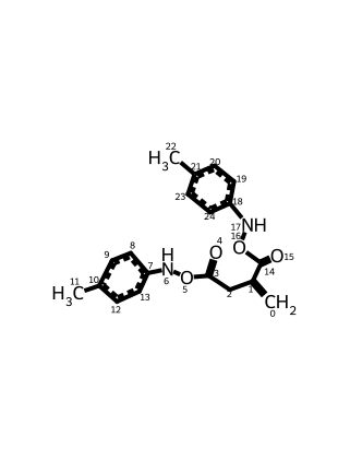 C=C(CC(=O)ONc1ccc(C)cc1)C(=O)ONc1ccc(C)cc1